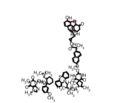 C=CCC1(C(C)CC)C(=O)NC(=O)NC1=O.CC(CN1c2ccccc2Sc2ccccc21)N(C)C.COc1ccc2cc([C@H](C)C(=O)O)ccc2c1.COc1cccc([C@@]2(O)CCCC[C@@H]2CN(C)C)c1.Cn1c(=O)c2c(ncn2C)n(C)c1=O.O=C1CC[C@@]2(O)[C@H]3Cc4ccc(O)c5c4[C@@]2(CCN3CC2CC2)[C@H]1O5